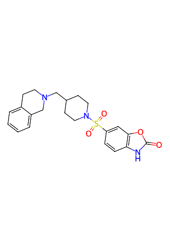 O=c1[nH]c2ccc(S(=O)(=O)N3CCC(CN4CCc5ccccc5C4)CC3)cc2o1